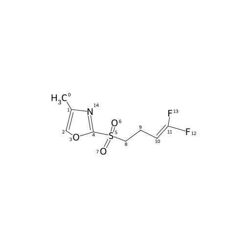 Cc1coc(S(=O)(=O)CCC=C(F)F)n1